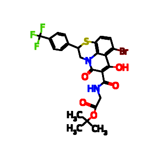 CC(C)(C)OC(=O)CNC(=O)c1c(O)c2c(Br)ccc3c2n(c1=O)CC(c1ccc(C(F)(F)F)cc1)S3